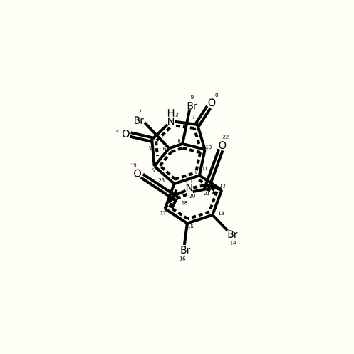 O=c1[nH]c(=O)c2c(Br)c(Br)c1c1c3c(Br)c(Br)c(c(=O)[nH]c3=O)c21